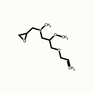 C=CCOCC(CN(C)CC1CO1)OC